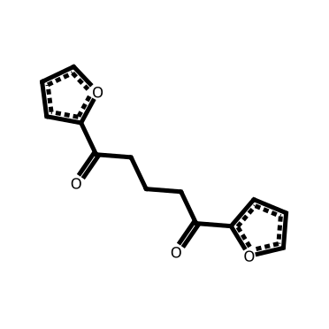 O=C(CCCC(=O)c1ccco1)c1ccco1